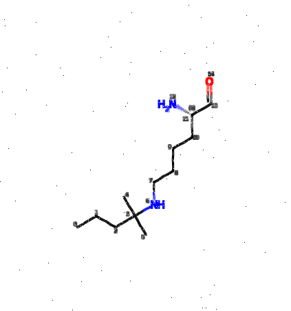 CCCC(C)(C)NCCCC[C@H](N)C=O